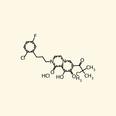 CC(C)(C)C(=O)c1cn2ccn(CCCc3cc(F)ccc3Cl)c(=O)c2c(O)c1=O.Cl